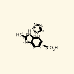 CC(=O)O.Sc1nc2ccccc2[nH]1.c1nnn[nH]1